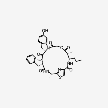 CCC[C@H]1NC(=O)c2csc(n2)[C@H](C)NC(=O)[C@H](Cc2ccccc2)N(C)C(=O)[C@H](Cc2ccc(O)cc2)N(C)C(=O)[C@H](C)OC(=O)[C@@H]1C